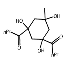 CCCC(=O)C1(O)CC(C)(O)CC(O)(C(=O)CCC)C1